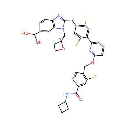 O=C(NC1CCC1)c1cc(F)c(COc2cccc(-c3cc(F)c(Cc4nc5ccc(C(O)O)cc5n4C[C@@H]4CCO4)cc3F)n2)cn1